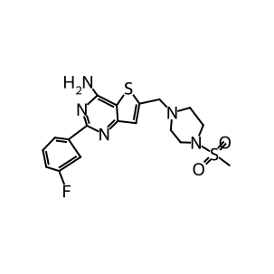 CS(=O)(=O)N1CCN(Cc2cc3nc(-c4cccc(F)c4)nc(N)c3s2)CC1